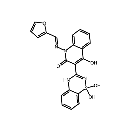 O=c1c(C2=NS(O)(O)c3ccccc3N2)c(O)c2ccccc2n1N=Cc1ccco1